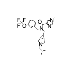 CC(C)CN1CC2C(C1)C2CN(Cc1cccc(OC(F)(F)F)c1)C(=O)c1cn(C)cn1